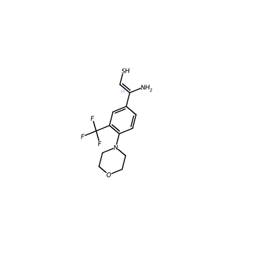 N/C(=C\S)c1ccc(N2CCOCC2)c(C(F)(F)F)c1